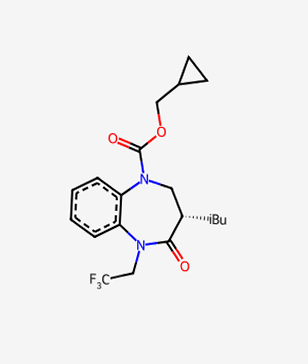 CCC(C)[C@H]1CN(C(=O)OCC2CC2)c2ccccc2N(CC(F)(F)F)C1=O